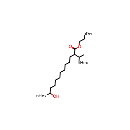 CCCCCCCCCCCCOC(=O)C(CCCCCCCCCC(O)CCCCCC)C(C)CCCCCC